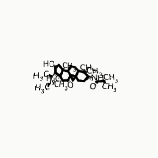 CC(C)C(=O)N[C@H]1CCC23CC24C(=O)C[C@]2(C)[C@@H](C(C)N(C)C)[C@H](O)C[C@@]2(C)C4CCC3C1(C)C